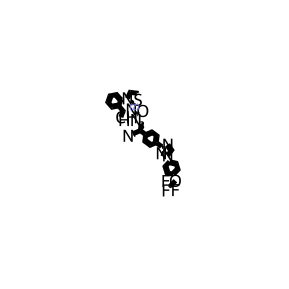 CCc1ccccc1N1CCS/C1=N\C(=O)NCC(C#N)c1ccc(-c2ncn(-c3ccc(OC(F)(F)F)cc3)n2)cc1